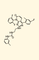 Cc1cccc(NC(=O)NCCNc2nc(-c3ccc(F)cc3C)c3ccc(=O)n(-c4c(F)cccc4F)c3n2)c1